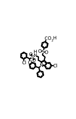 O=C(O)c1ccc(S(=O)(=O)CCc2c(CCNS(=O)(=O)C(Cl)c3ccccc3Cl)n(C(c3ccccc3)c3ccccc3)c3ccc(Cl)cc23)cc1